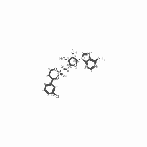 Nc1ncnc2c1ncn2[C@@H]1O[C@H](COP2(=S)OCCC(c3cccc(Cl)c3)O2)[C@H](O)[C@@H]1O